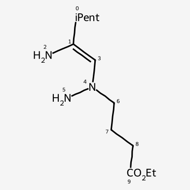 CCCC(C)/C(N)=C/N(N)CCCC(=O)OCC